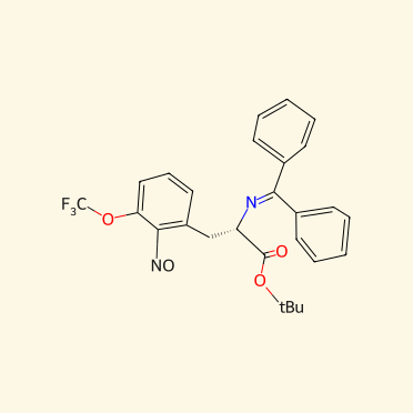 CC(C)(C)OC(=O)[C@H](Cc1cccc(OC(F)(F)F)c1N=O)N=C(c1ccccc1)c1ccccc1